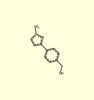 Cn1ccc(-c2ccc(CO)cc2)n1